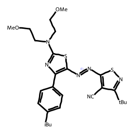 CCC(C)c1ccc(-c2nc(N(CCOC)CCOC)sc2/N=N/c2snc(C(C)(C)C)c2C#N)cc1